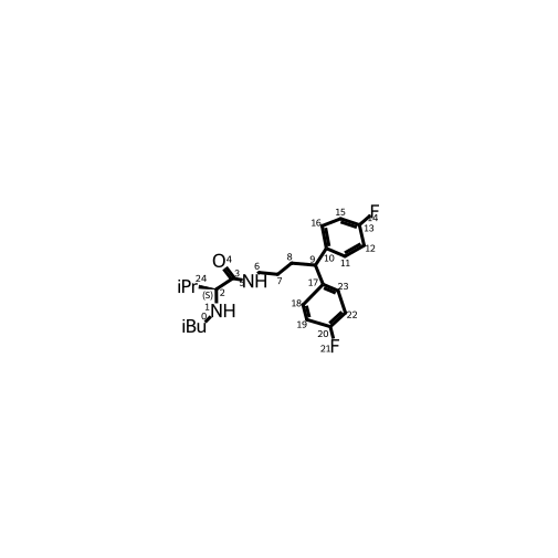 CCC(C)N[C@H](C(=O)NCCCC(c1ccc(F)cc1)c1ccc(F)cc1)C(C)C